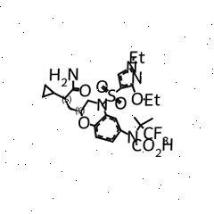 CCOc1nn(CC)cc1S(=O)(=O)N1C[C@H](C[C@H](C(N)=O)C2CC2)Oc2ccc(N(C(=O)O)C(C)(C)C(F)(F)F)cc21